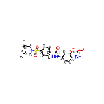 C[C@@H]1C[C@H](C)CN(S(=O)(=O)c2ccc(C(=O)Nc3ccc4[nH]c(=O)oc4c3)cc2)C1